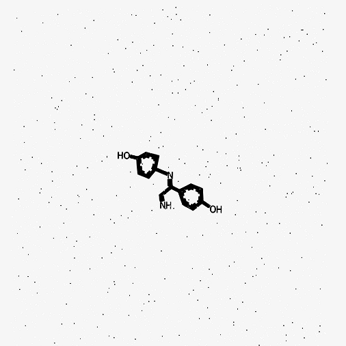 N=CC(=Nc1ccc(O)cc1)c1ccc(O)cc1